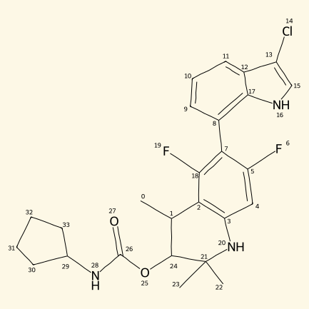 CC1c2c(cc(F)c(-c3cccc4c(Cl)c[nH]c34)c2F)NC(C)(C)C1OC(=O)NC1CCCC1